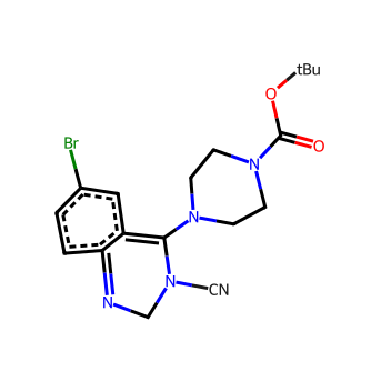 CC(C)(C)OC(=O)N1CCN(C2=c3cc(Br)ccc3=NCN2C#N)CC1